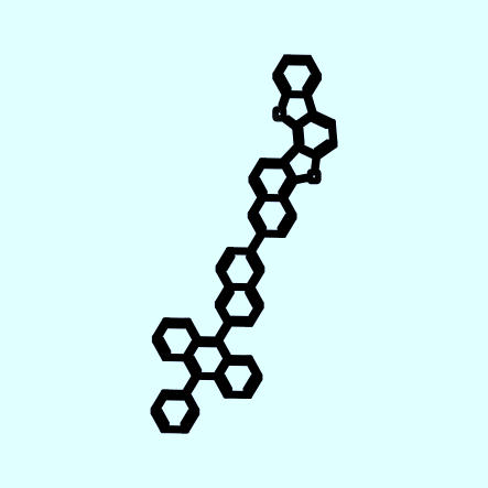 c1ccc(-c2c3ccccc3c(-c3ccc4cc(-c5ccc6c(ccc7c6oc6ccc8c9ccccc9oc8c67)c5)ccc4c3)c3ccccc23)cc1